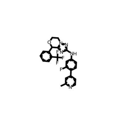 Cc1cc(-c2ccc(Nc3nc4n(n3)CCOC4c3ccccc3C(F)(F)F)cc2F)ccn1